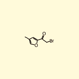 Cc1coc(C(=O)CBr)c1